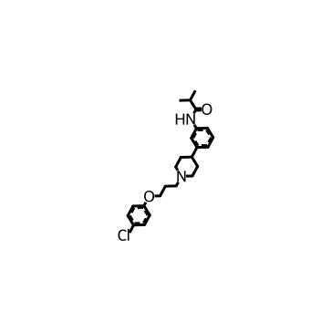 CC(C)C(=O)Nc1cccc(C2CCN(CCCOc3ccc(Cl)cc3)CC2)c1